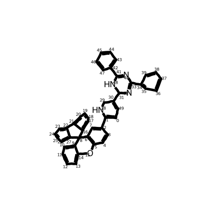 C1=C(c2ccc3c(c2)C2(c4ccccc4O3)c3ccccc3-c3ccccc32)NCC(C2N=C(c3ccccc3)N=C(c3ccccc3)N2)=C1